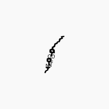 CCCCCCCCCCc1ccc(C(=O)Oc2ccc(-c3ncc(CCC)cn3)c(F)c2)cc1